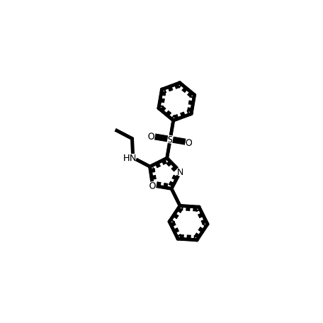 CCNc1oc(-c2ccccc2)nc1S(=O)(=O)c1ccccc1